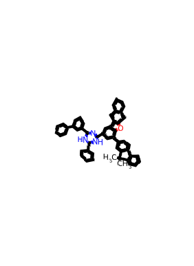 CC1(C)c2ccccc2-c2ccc(-c3cc(C4=NC(c5cccc(-c6ccccc6)c5)NC(c5ccccc5)N4)cc4c3oc3cc5ccccc5cc34)cc21